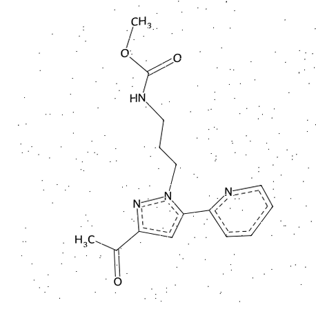 COC(=O)NCCCn1nc(C(C)=O)cc1-c1ccccn1